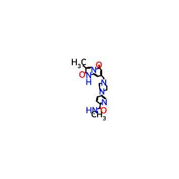 CCc1cn2c(=O)cc(CN3CCN(c4ccc(C(=O)NC)nc4)CC3)cc2[nH]c1=O